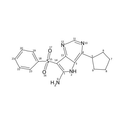 Nc1[nH]c2c(C3CCCC3)ncnc2c1S(=O)(=O)c1ccccc1